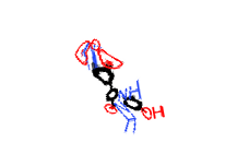 COc1cc(-c2ccc3c(c2)Nc2ccc(O)cc2NC3=O)ccc1[N+](=O)[O-]